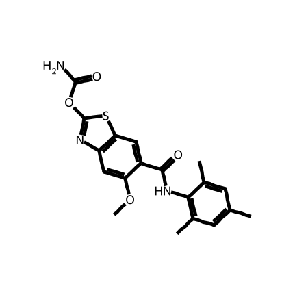 COc1cc2nc(OC(N)=O)sc2cc1C(=O)Nc1c(C)cc(C)cc1C